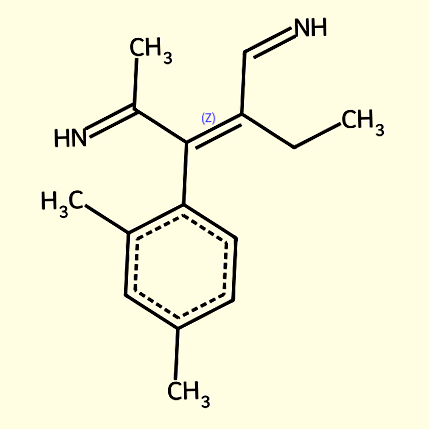 CC/C(C=N)=C(/C(C)=N)c1ccc(C)cc1C